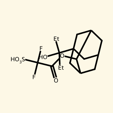 CCC(O)(CC)C12CC3CC(C1)C(OC(=O)C(F)(F)S(=O)(=O)O)C(C3)C2